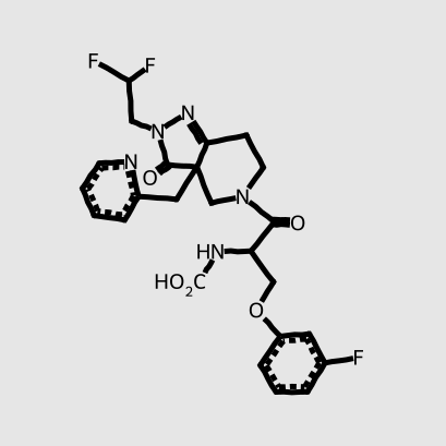 O=C(O)NC(COc1cccc(F)c1)C(=O)N1CCC2=NN(CC(F)F)C(=O)C2(Cc2ccccn2)C1